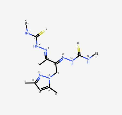 CCNC(=S)N/N=C(C)/C(Cn1nc(C)cc1C)=N/NC(=S)NCC